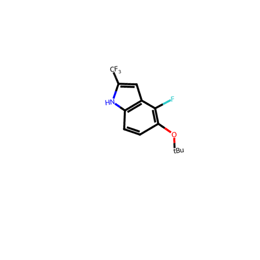 CC(C)(C)Oc1ccc2[nH]c(C(F)(F)F)cc2c1F